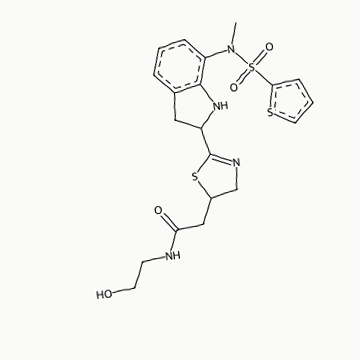 CN(c1cccc2c1NC(C1=NCC(CC(=O)NCCO)S1)C2)S(=O)(=O)c1cccs1